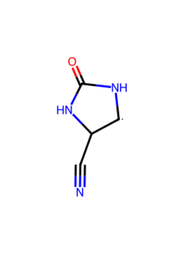 N#CC1[CH]NC(=O)N1